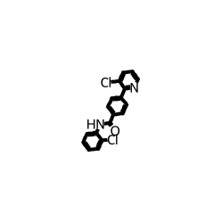 O=C(Nc1ccccc1Cl)c1ccc(-c2ncccc2Cl)cc1